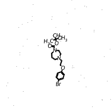 CC(C)(C)OC(=O)N1CCCN(CCOc2ccc(Br)cc2)CC1